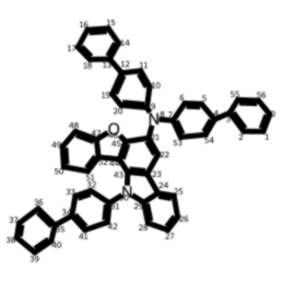 c1ccc(-c2ccc(N(c3ccc(-c4ccccc4)cc3)c3cc4c5ccccc5n(-c5ccc(-c6ccccc6)cc5)c4c4c3oc3ccccc34)cc2)cc1